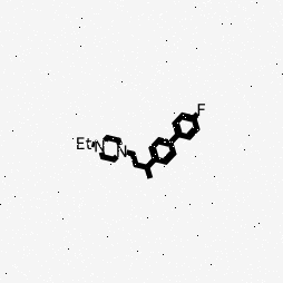 CCN1CCN(CCC(C)c2ccc(-c3ccc(F)cc3)cc2)CC1